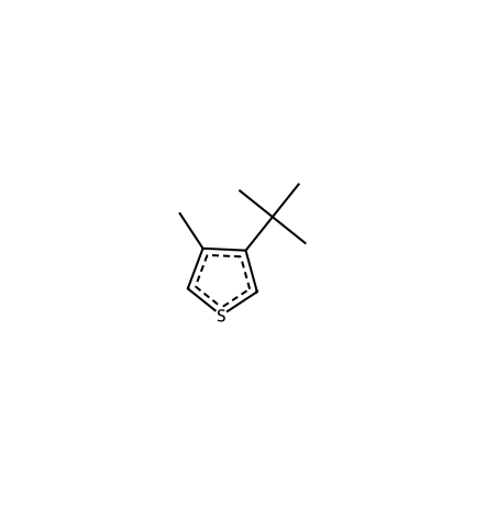 Cc1cscc1C(C)(C)C